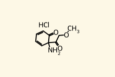 COCC(=O)C1(N)C=CC=CC1=O.Cl